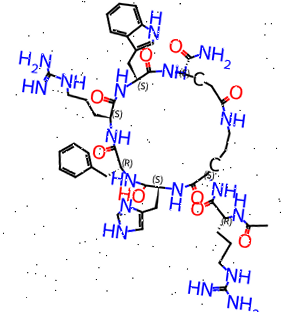 CC(=O)N[C@H](CCCNC(=N)N)C(=O)N[C@H]1CCCNC(=O)CC[C@@H](C(N)=O)NC(=O)[C@H](Cc2c[nH]c3ccccc23)NC(=O)[C@H](CCCNC(=N)N)NC(=O)[C@@H](Cc2ccccc2)NC(O)[C@H](Cc2c[nH]cn2)NC1=O